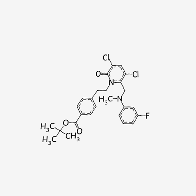 CN(Cc1c(Cl)cc(Cl)c(=O)n1CCc1ccc(C(=O)OC(C)(C)C)cc1)c1cccc(F)c1